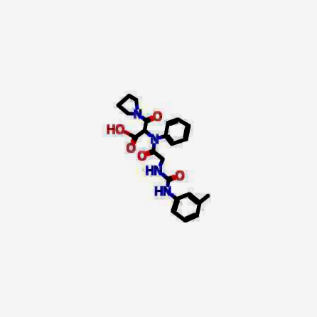 Cc1cccc(NC(=O)NCC(=O)N(c2ccccc2)C(C(=O)O)C(=O)N2CCCC2)c1